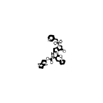 O=C(NC(Cc1cccs1)C(=O)N1CCC2C1C(=O)CN2S(=O)(=O)Cc1cccnc1)Oc1cc2sccc2s1